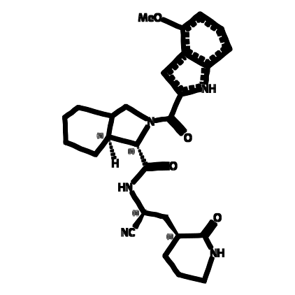 COc1cccc2[nH]c(C(=O)N3CC4CCCC[C@@H]4[C@H]3C(=O)N[C@H](C#N)C[C@@H]3CCCNC3=O)cc12